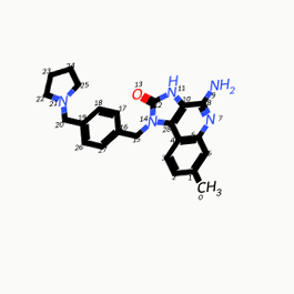 Cc1ccc2c(c1)nc(N)c1[nH]c(=O)n(Cc3ccc(CN4CCCC4)cc3)c12